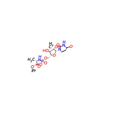 CC(C)OC(=O)[C@H](C)NP(=O)(O)OC[C@H]1O[C@@H](n2ccc(=O)[nH]c2=O)[C@](C)(O)[C@@H]1O